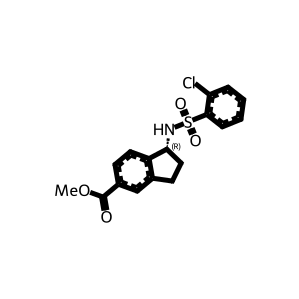 COC(=O)c1ccc2c(c1)CC[C@H]2NS(=O)(=O)c1ccccc1Cl